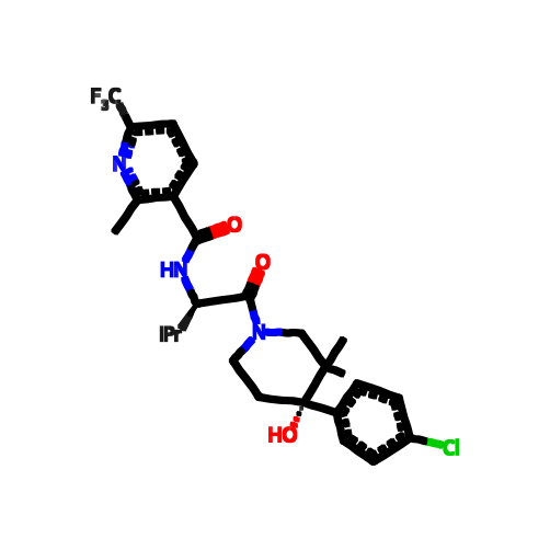 Cc1nc(C(F)(F)F)ccc1C(=O)N[C@@H](C(=O)N1CC[C@](O)(c2ccc(Cl)cc2)C(C)(C)C1)C(C)C